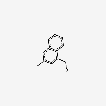 Cc1cc(C[O])c2ccccc2c1